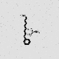 CCCCCCCCCCCCCCCCCCc1ccccc1.CN(C)C.Cl